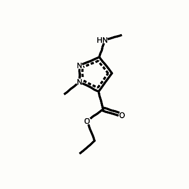 CCOC(=O)c1cc(NC)nn1C